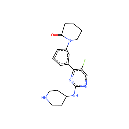 O=C1CCCCN1c1cccc(-c2nc(NC3CCNCC3)ncc2F)c1